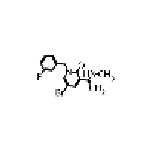 C=C(NC)c1cc(Br)cn(Cc2cccc(F)c2)c1=O